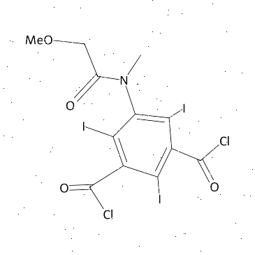 COCC(=O)N(C)c1c(I)c(C(=O)Cl)c(I)c(C(=O)Cl)c1I